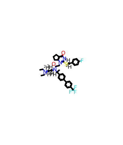 [2H]C([2H])(Sc1nc(=O)c2c(n1CC(=O)N(C([2H])(C)c1ccc(-c3ccc(C(F)(F)F)cc3)cc1)C([2H])([2H])C([2H])([2H])N(CC)CC)CCC2)c1ccc(F)cc1